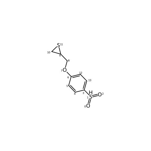 O=[SH](=O)c1ccc(OCC2CS2)cc1